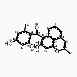 CC1=Cc2cccc3c(C(=O)c4c(C)cc(O)cc4O)c(O)cc(c23)O1